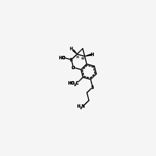 NCCSc1ccc2c(c1C(=O)O)OB(O)[C@@H]1C[C@H]21